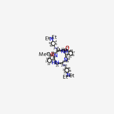 CCN(CC)c1ccc(/C=C/c2c3nc(c(-c4ccccc4C(=O)OC)c4ccc([nH]4)c(/C=C/c4ccc(N(CC)CC)cc4)c4nc(c(-c5ccccc5C(=O)OC)c5ccc2[nH]5)C=C4)C=C3)cc1